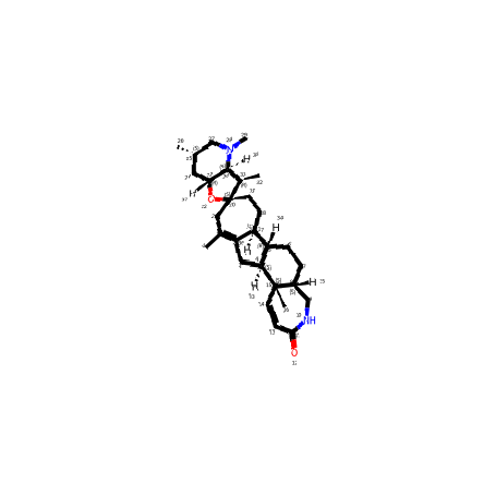 CC1=C2C[C@H]3[C@@H](CC[C@@H]4CNC(=O)C=C[C@@]43C)[C@@H]2CC[C@@]2(C1)O[C@@H]1C[C@H](C)CN(C)[C@H]1[C@H]2C